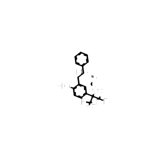 COCOC(c1ccc(O)c(CCc2ccccc2)c1)(C(F)(F)F)C(F)(F)F